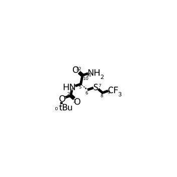 CC(C)(C)OC(=O)N[C@@H](CSCC(F)(F)F)C(N)=O